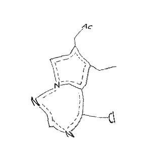 CC(=O)c1cn2ncnc(Cl)c2c1C